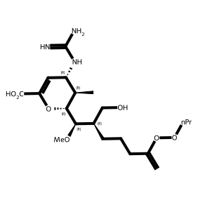 C=C(CCC[C@H](CO)[C@@H](OC)[C@@H]1OC(C(=O)O)=C[C@H](NC(=N)N)[C@H]1C)OOCCC